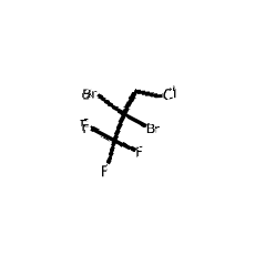 FC(F)(F)C(Br)(Br)CCl